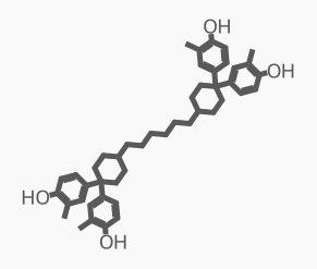 Cc1cc(C2(c3ccc(O)c(C)c3)CCC(CCCCCCC3CCC(c4ccc(O)c(C)c4)(c4ccc(O)c(C)c4)CC3)CC2)ccc1O